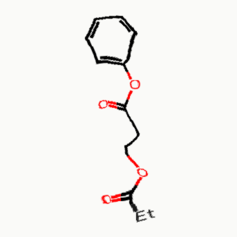 CCC(=O)OCCC(=O)Oc1ccccc1